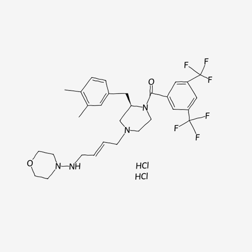 Cc1ccc(C[C@@H]2CN(CC=CCNN3CCOCC3)CCN2C(=O)c2cc(C(F)(F)F)cc(C(F)(F)F)c2)cc1C.Cl.Cl